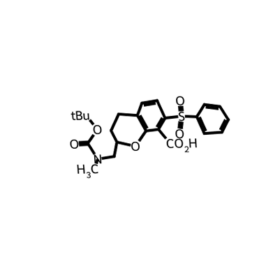 CN(CC1CCc2ccc(S(=O)(=O)c3ccccc3)c(C(=O)O)c2O1)C(=O)OC(C)(C)C